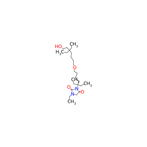 CCN1CC(=O)N(C(CC)(CC)CCCCOCCCCC(CC)(CC)CCO)C1=O